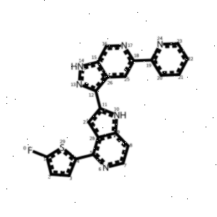 Fc1ccc(-c2nccc3[nH]c(-c4n[nH]c5cnc(-c6ccccn6)cc45)cc23)s1